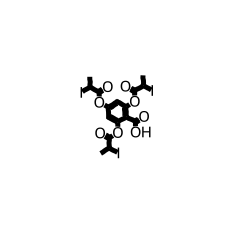 CC(I)C(=O)Oc1cc(OC(=O)C(C)I)c(C(=O)O)c(OC(=O)C(C)I)c1